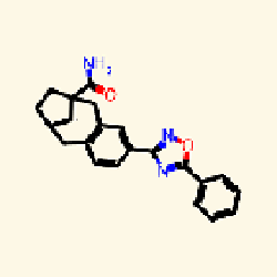 NC(=O)C12[CH]C(CC1)Cc1ccc(-c3noc(-c4ccccc4)n3)cc1C2